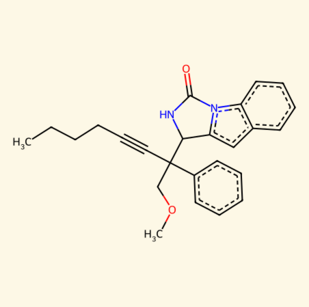 CCCCC#CC(COC)(c1ccccc1)C1NC(=O)n2c1cc1ccccc12